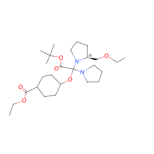 CCOC[C@@H]1CCCN1C(OC1CCC(C(=O)OCC)CC1)(C(=O)OC(C)(C)C)N1CCCC1